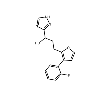 OC(CCc1occc1-c1ccccc1F)c1nc[nH]n1